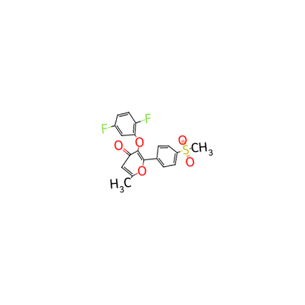 Cc1cc(=O)c(Oc2cc(F)ccc2F)c(-c2ccc(S(C)(=O)=O)cc2)o1